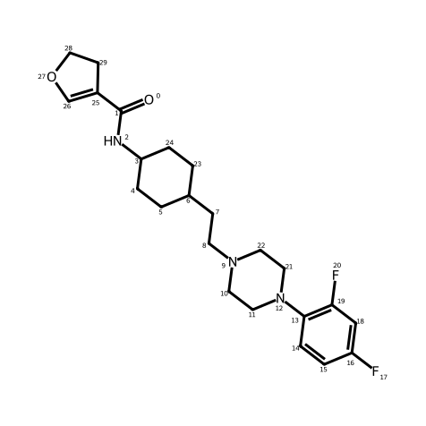 O=C(NC1CCC(CCN2CCN(c3ccc(F)cc3F)CC2)CC1)C1=COCC1